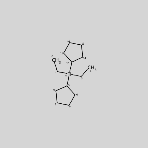 C[CH2][Ti]([CH2]C)([CH]1CCCC1)[CH]1CCCC1